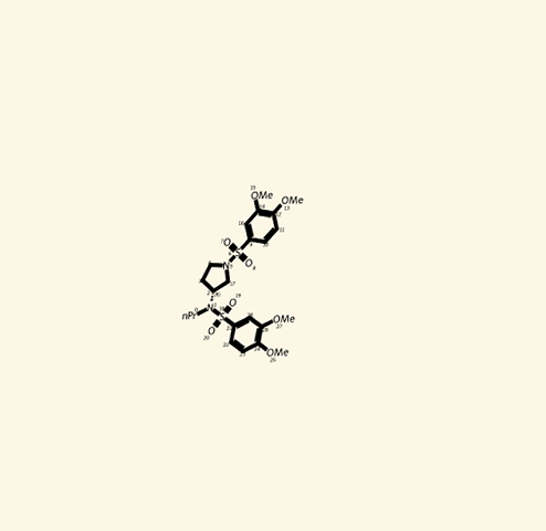 CCCN([C@@H]1CCN(S(=O)(=O)c2ccc(OC)c(OC)c2)C1)S(=O)(=O)c1ccc(OC)c(OC)c1